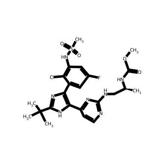 COC(=O)N[C@@H](C)CNc1nccc(-c2[nH]c(C(C)(C)C)nc2-c2cc(F)cc(NS(C)(=O)=O)c2Cl)n1